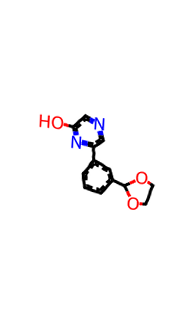 Oc1cncc(-c2cccc(C3OCCO3)c2)n1